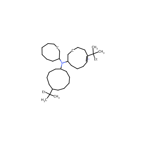 CCC(C)(C)/C1=C/CCCC(N(C2CCCCCCCC2)C2CCCCCC(C(C)(C)CC)CCCC2)CCCC1